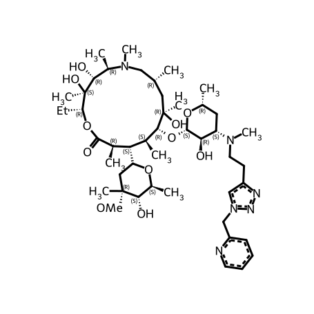 CC[C@H]1OC(=O)[C@H](C)[C@@H](C2C[C@@](C)(OC)[C@@H](O)[C@H](C)O2)[C@H](C)[C@@H](O[C@@H]2O[C@H](C)C[C@H](N(C)CCc3cn(Cc4ccccn4)nn3)[C@H]2O)[C@](C)(O)C[C@@H](C)CN(C)[C@H](C)[C@@H](O)[C@]1(C)O